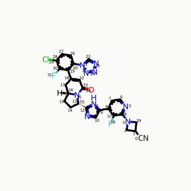 N#CC1CN(c2nccc(-c3cnc([C@@H]4CC[C@@H]5CC(c6c(-n7cnnn7)ccc(Cl)c6F)=CC(=O)N54)[nH]3)c2F)C1